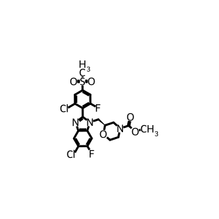 COC(=O)N1CCO[C@@H](Cn2c(-c3c(F)cc(S(C)(=O)=O)cc3Cl)nc3cc(Cl)c(F)cc32)C1